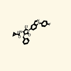 CC[C@@H]1[C@@H](NC(=O)C2CC2)[C@H](Cc2ccccc2)C(=O)N1c1ccc2c(cnn2-c2ccc(F)cc2)c1